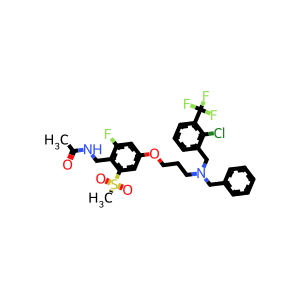 CC(=O)NCc1c(F)cc(OCCCN(Cc2ccccc2)Cc2cccc(C(F)(F)F)c2Cl)cc1S(C)(=O)=O